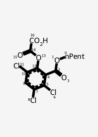 CCCCCOC(=O)c1c(Cl)c(Cl)cc(Cl)c1OC(=O)C(=O)O